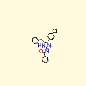 Cn1c(-c2ccc(Cl)cc2)c(Cc2ccccc2)[nH]/c1=N\C(=O)c1ccccc1